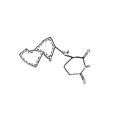 O=C1CCC(Nc2ccc3ccccc3n2)C(=O)N1